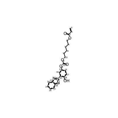 C=CC(=O)OCCCCCCOC(=O)Oc1ccc(O)c(-n2nc3ccccc3n2)c1